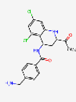 COC(=O)C1CC(NC(=O)c2ccc(CN)cc2)c2c(Cl)cc(Cl)cc2N1